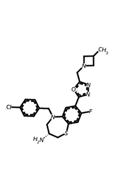 CC1CN(Cc2nnc(-c3cc4c(cc3F)SC[C@H](N)CN4Cc3ccc(Cl)cc3)o2)C1